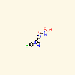 O=C(O)NCCC(=O)N1CCC(c2cn(-c3ccc(Cl)cc3)c3cnccc23)CC1